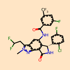 Cn1nc2c3c(c(NC(=O)c4cc(F)cc(C(F)(F)F)c4)cc2c1CC(F)F)[C@H](c1cc(F)ccc1Cl)NC3=O